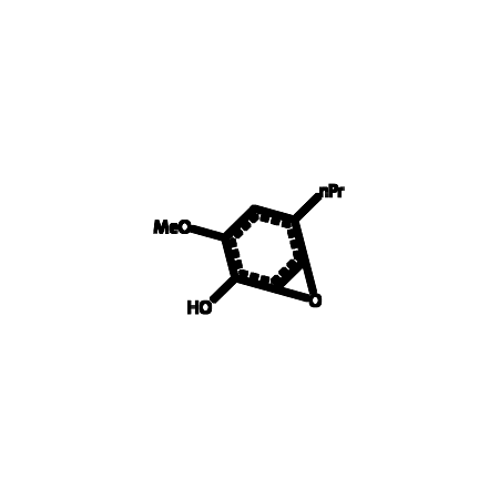 CCCc1cc(OC)c(O)c2c1O2